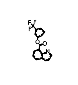 O=C(Oc1cccc(C(F)(F)F)c1)c1cccc2cccnc12